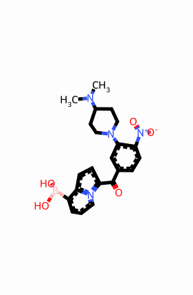 CN(C)C1CCN(c2cc(C(=O)c3ccc4c(B(O)O)cccn34)ccc2[N+](=O)[O-])CC1